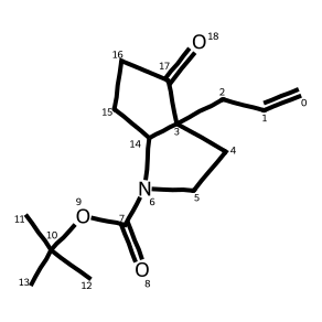 C=CCC12CCN(C(=O)OC(C)(C)C)C1CCC2=O